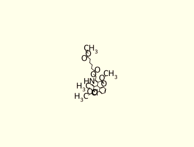 CCOC(=O)CCCCC(=O)OCC1=C(C(=O)OCC)C(c2ccccc2Cl)C(C(=O)OCC)=C(C)N1